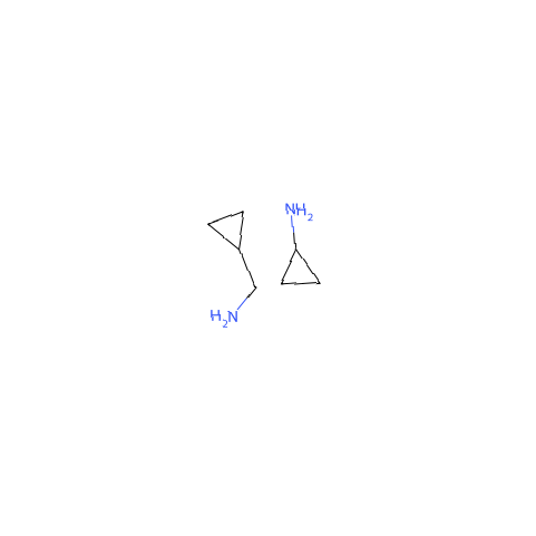 NC1CC1.NCC1CC1